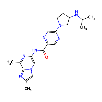 Cc1cn2cc(NC(=O)c3cnc(N4CCC(NC(C)C)C4)cn3)nc(C)c2n1